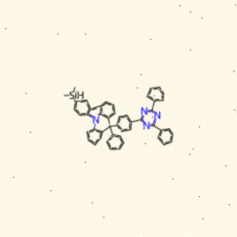 C[SiH](C)c1ccc2c(c1)c1cccc3c1n2-c1ccccc1C3(c1ccccc1)c1ccc(-c2nc(-c3ccccc3)nc(-c3ccccc3)n2)cc1